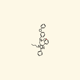 CCCCn1c(-c2ccccc2)nc(-c2ccccc2)c1CN(CCC)Cc1cccc(Oc2ccccc2)c1